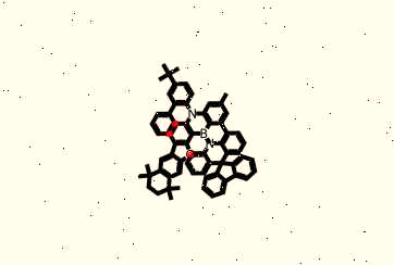 Cc1cc2c3c(c1)N(c1ccc(C(C)(C)C)cc1-c1ccccc1)c1ccc4c(oc5cc6c(cc54)C(C)(C)CCC6(C)C)c1B3N1c3ccccc3C3(c4ccccc4-c4ccccc43)c3cccc-2c31